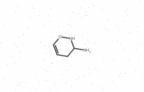 NC1CC=CON1